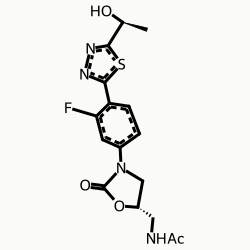 CC(=O)NC[C@H]1CN(c2ccc(-c3nnc([C@H](C)O)s3)c(F)c2)C(=O)O1